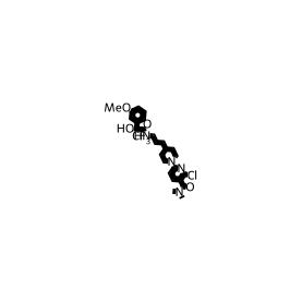 COc1cccc(C(O)(C(=O)NCCCC2CCN(c3ccc(C(=O)N(C)C)c(Cl)n3)CC2)C(F)(F)F)c1